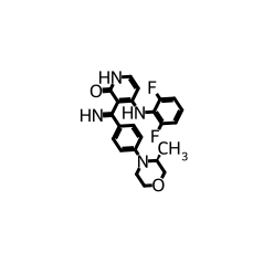 C[C@H]1COCCN1c1ccc(C(=N)c2c(Nc3c(F)cccc3F)cc[nH]c2=O)cc1